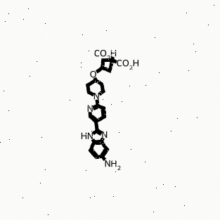 Nc1ccc2[nH]c(-c3ccc(N4CCC(OC5CC(C(=O)O)(C(=O)O)C5)CC4)nc3)nc2c1